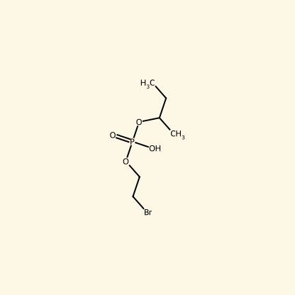 CCC(C)OP(=O)(O)OCCBr